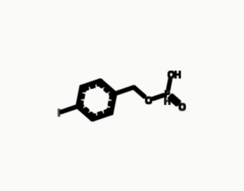 O=[PH](O)OCc1ccc(I)cc1